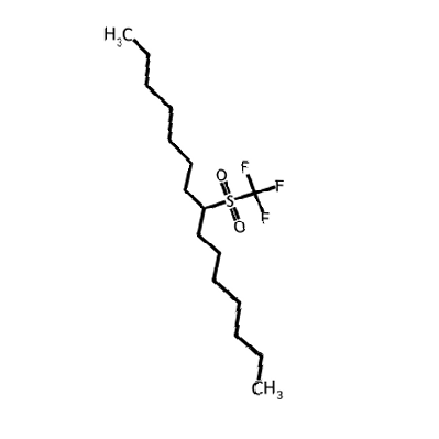 CCCCCCCC(CCCCCCC)S(=O)(=O)C(F)(F)F